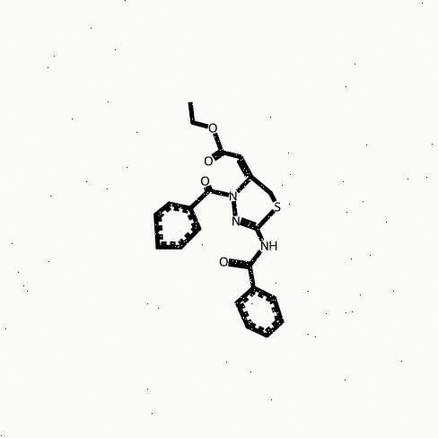 CCOC(=O)/C=C1/CSC(NC(=O)c2ccccc2)=NN1C(=O)c1ccccc1